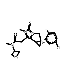 CN(C(=O)Cc1c2n(c(=S)n1C)C[C@@]1(c3cc(Cl)ccc3F)CC21)C1COC1